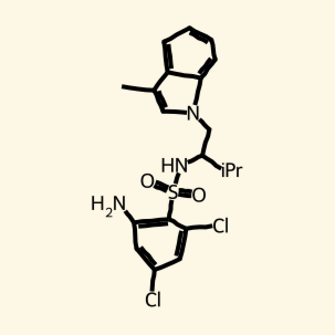 Cc1cn(CC(NS(=O)(=O)c2c(N)cc(Cl)cc2Cl)C(C)C)c2ccccc12